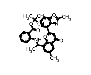 Cc1cc(C(C)Nc2ccccc2C(=O)OC(C)(C)C)c2oc(-c3cccc4oc(C)nc34)cc(=O)c2c1